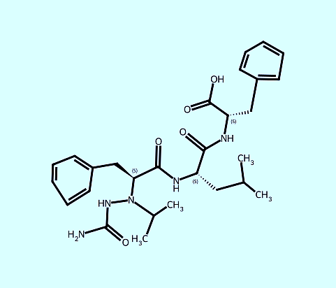 CC(C)C[C@H](NC(=O)[C@H](Cc1ccccc1)N(NC(N)=O)C(C)C)C(=O)N[C@@H](Cc1ccccc1)C(=O)O